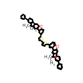 CC1(C)c2cc(-c3ccccc3)ccc2-c2cc3oc4ccc(-c5ccc(-c6ccc(-c7ccc8oc9cc%10c(cc9c8c7)C(C)(C)c7cc(-c8ccccc8)ccc7-%10)s6)s5)cc4c3cc21